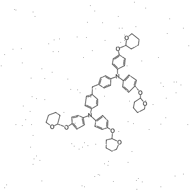 c1cc(N(c2ccc(OC3CCCCO3)cc2)c2ccc(OC3CCCCO3)cc2)ccc1Cc1ccc(N(c2ccc(OC3CCCCO3)cc2)c2ccc(OC3CCCCO3)cc2)cc1